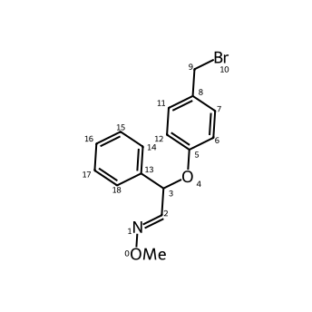 CON=CC(Oc1ccc(CBr)cc1)c1ccccc1